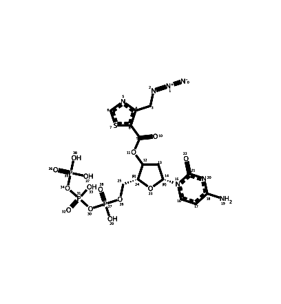 [N-]=[N+]=NCc1ncsc1C(=O)OC1C[C@H](n2ccc(N)nc2=O)O[C@@H]1COP(=O)(O)OP(=O)(O)OP(=O)(O)O